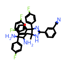 CC1(CC(N)C(N)(c2ccc(F)cc2)c2ccc(F)cc2)NC(c2cccc(C#N)c2)=NC1(c1ccc(F)cc1)c1ccc(F)cc1